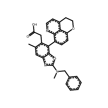 Cc1cc2nc(N(C)Cc3ccccc3)sc2c(-c2ccc3c4c(ccnc24)CCO3)c1CC(=O)O